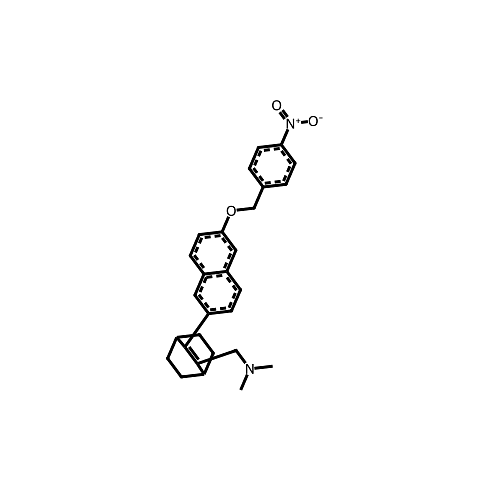 CN(C)CC1=C(c2ccc3cc(OCc4ccc([N+](=O)[O-])cc4)ccc3c2)C2CCC1CC2